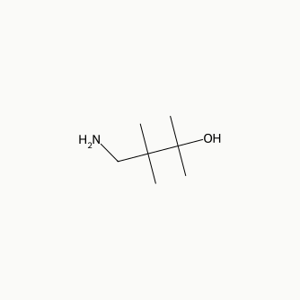 CC(C)(O)C(C)(C)CN